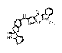 CCCc1c(C(=O)c2cc(Nc3ccc4c(c3)CC3(C4)C(=O)Nc4ncccc43)ncn2)c2ccccc2n1C